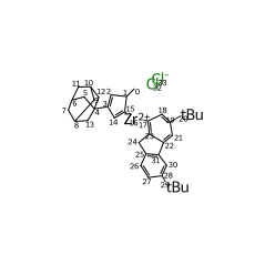 CC1C=C(C23CC4CC(CC(C4)C2)C3)C=[C]1[Zr+2][c]1cc(C(C)(C)C)cc2c1Cc1ccc(C(C)(C)C)cc1-2.[Cl-].[Cl-]